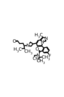 CCN(C(=O)c1cc(F)ccc1-c1cc(C2CN(C(CCC=O)C(C)C)C2)cc2c(C)ncn12)C(C)C